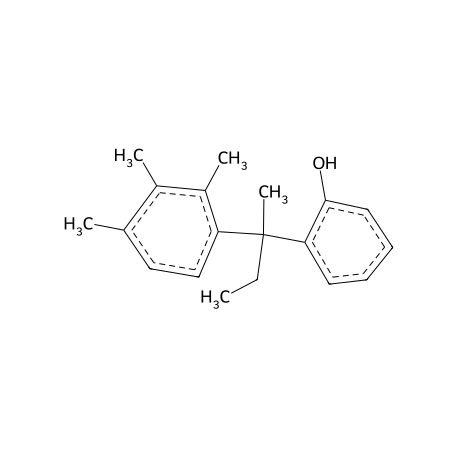 CCC(C)(c1ccccc1O)c1ccc(C)c(C)c1C